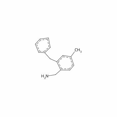 Cc1ccc(CN)c(Cc2ccccc2)c1